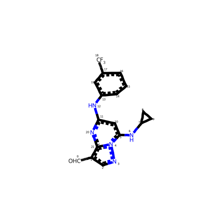 O=Cc1cnn2c(NC3CC3)cc(Nc3cccc(C(F)(F)F)c3)nc12